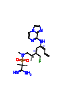 C=C/C=C(\C=C(/CF)[C@H](C)CN(C)S(=O)(=O)C(C)(C)C(=N)N)Nc1nccn2ccnc12